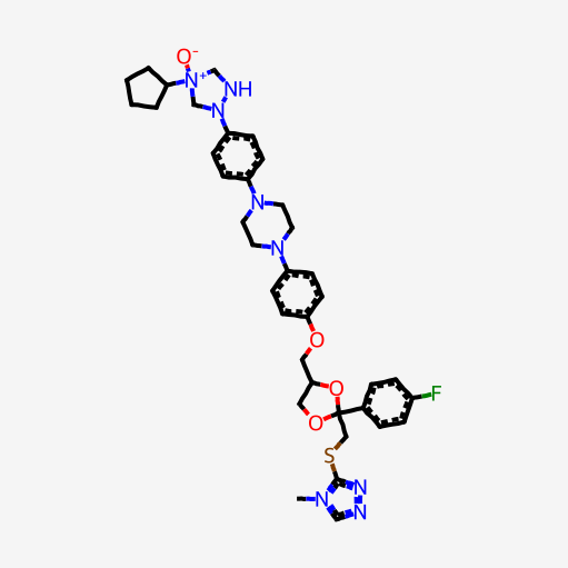 Cn1cnnc1SCC1(c2ccc(F)cc2)OCC(COc2ccc(N3CCN(c4ccc(N5C[N+]([O-])(C6CCCC6)CN5)cc4)CC3)cc2)O1